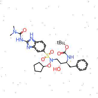 CN(C)C(=O)Nc1nc2cc(S(=O)(=O)N(C[C@@H](O)[C@H](Cc3ccccc3)NC(=O)OC(C)(C)C)OC3CCCC3)ccc2[nH]1